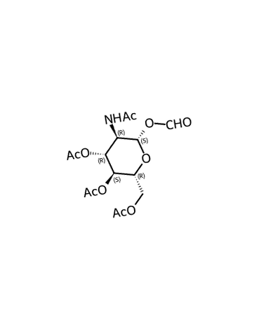 CC(=O)N[C@H]1[C@H](OC=O)O[C@H](COC(C)=O)[C@@H](OC(C)=O)[C@@H]1OC(C)=O